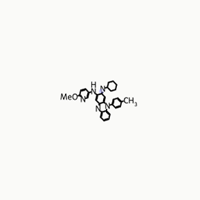 COc1ccc(Nc2cc3nc4ccccc4n(-c4ccc(C)cc4)c-3c/c2=N\C2CCCCC2)cn1